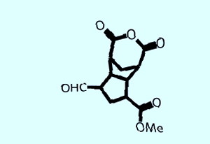 COC(=O)C1CC(C=O)C2C3CC(C(=O)OC3=O)C12